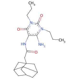 CCCn1c(N)c(NC(=O)CC23CC4CC(CC(C4)C2)C3)c(=O)n(CCC)c1=O